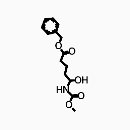 COC(=O)NC(O)CCCC(=O)OCc1ccccc1